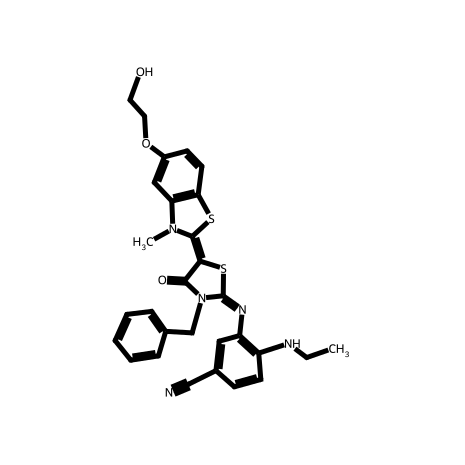 CCNc1ccc(C#N)cc1/N=C1/S/C(=C2\Sc3ccc(OCCO)cc3N2C)C(=O)N1Cc1ccccc1